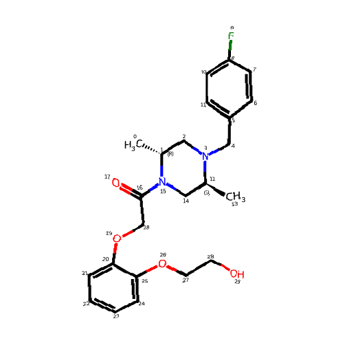 C[C@@H]1CN(Cc2ccc(F)cc2)[C@@H](C)CN1C(=O)COc1ccccc1OCCO